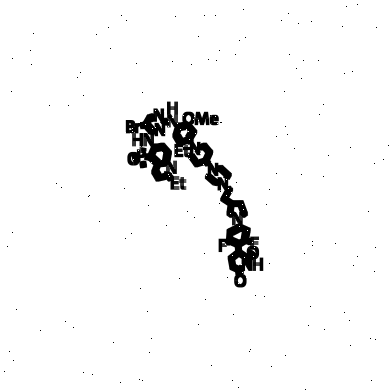 CCc1ccc2c(P(C)(C)=O)c(Nc3nc(Nc4cc(CC)c(N5CCC(N6CCN(CCC7CCN(c8cc(F)c(C9CCC(=O)NC9=O)c(F)c8)C7)CC6)CC5)cc4OC)ncc3Br)ccc2n1